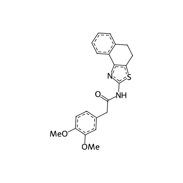 COc1ccc(CC(=O)Nc2nc3c(s2)CCc2ccccc2-3)cc1OC